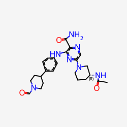 CC(=O)N[C@@H]1CCCN(c2cnc(C(N)=O)c(Nc3ccc(C4CCN(C=O)CC4)cc3)n2)C1